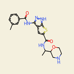 Cc1cccc(C(=O)Nc2n[nH]c3sc(C(=O)NC(C)C4CNCCO4)cc23)c1